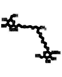 CC(=O)NC1C(O)[C@@H](O)C(CO)O[C@H]1OCCOCCOCC(C)COCCOCCO[C@@H]1O[C@H](CO)[C@H](O)C(O)C1NC(C)=O